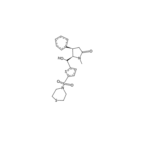 CN1C(=O)C[C@H](c2ccccc2)[C@@H]1C(O)c1ccc(S(=O)(=O)N2CCSCC2)s1